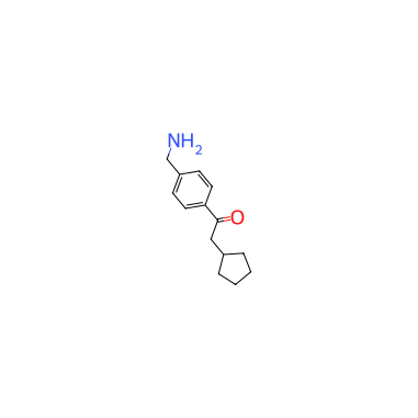 NCc1ccc(C(=O)CC2CCCC2)cc1